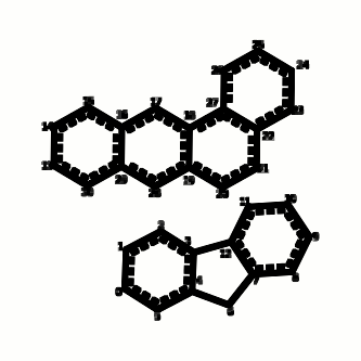 c1ccc2c(c1)Cc1ccccc1-2.c1ccc2cc3c(ccc4ccccc43)cc2c1